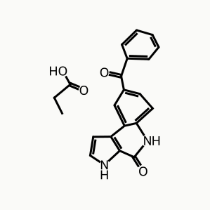 CCC(=O)O.O=C(c1ccccc1)c1ccc2[nH]c(=O)c3[nH]ccc3c2c1